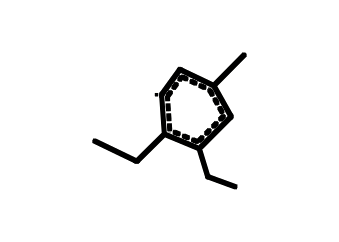 CCc1[c]cc(C)cc1CC